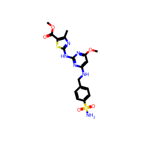 COC(=O)c1sc(Nc2nc(NCc3ccc(S(N)(=O)=O)cc3)cc(OC)n2)nc1C